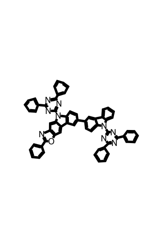 c1ccc(-c2nc(-c3ccccc3)nc(-n3c4ccccc4c4cc(-c5ccc6c(c5)c5cc7oc(-c8ccccc8)nc7cc5n6-c5nc(-c6ccccc6)nc(-c6ccccc6)n5)ccc43)n2)cc1